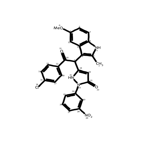 COc1ccc2[nH]c(C)c(C(C(=O)c3ccc(Cl)cc3)c3cc(=O)n(-c4cccc([N+](=O)[O-])c4)[nH]3)c2c1